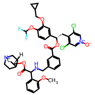 COc1ccccc1C(NCc1cccc(C(=O)O[C@@H](Cc2c(Cl)c[n+]([O-])cc2Cl)c2ccc(OC(F)F)c(OCC3CC3)c2)c1)C(=O)O[C@H]1CN2CCC1CC2